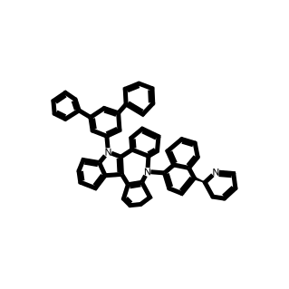 C1=CC[C@@H](c2ccc(N3C4=C(C=CCC4)c4c(n(-c5cc(-c6ccccc6)cc(-c6ccccc6)c5)c5ccccc45)-c4ccccc43)c3ccccc23)N=C1